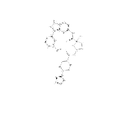 CCCC1(C(=O)Nc2ccc3[nH]nc(-c4ccnc(OC)c4)c3c2)CCN(CC(=O)N2CCC(c3ccsc3)CC2)C1